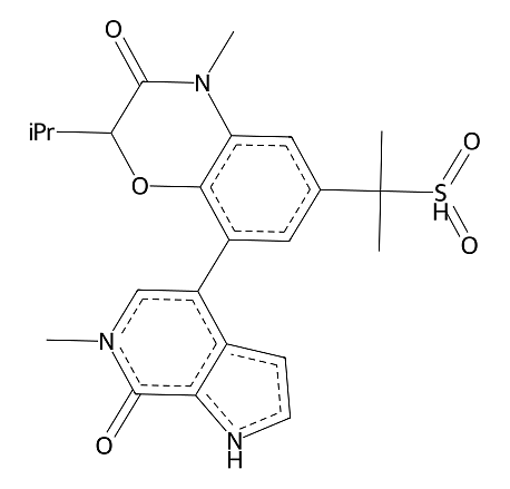 CC(C)C1Oc2c(-c3cn(C)c(=O)c4[nH]ccc34)cc(C(C)(C)[SH](=O)=O)cc2N(C)C1=O